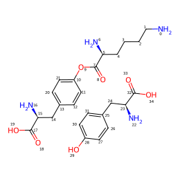 NCCCC[C@H](N)C(=O)Oc1ccc(C[C@H](N)C(=O)O)cc1.N[C@@H](Cc1ccc(O)cc1)C(=O)O